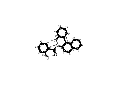 O=C(Nc1ccc2ccccc2c1-c1ccccc1O)c1ccccc1Cl